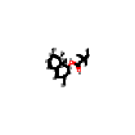 CCC(C)(C)C(=O)O[C@H]1C[C@@H](C)C=C2C=C[C@H](C)[C@H](C)[C@H]21